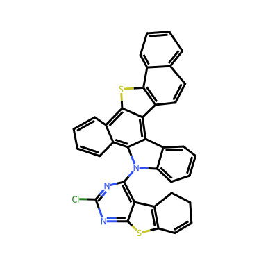 Clc1nc(-n2c3ccccc3c3c4c5ccc6ccccc6c5sc4c4ccccc4c32)c2c3c(sc2n1)C=CCC3